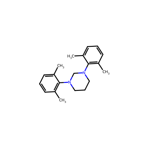 Cc1cccc(C)c1N1CCCN(c2c(C)cccc2C)C1